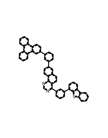 c1cc(-c2ccc3c(ccc4c(-c5cccc(-c6cccc7c6sc6ccccc67)c5)ncnc43)c2)cc(-c2ccc3c4ccccc4c4ccccc4c3c2)c1